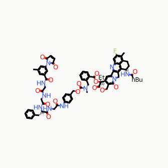 CCCCC(=O)N[C@H]1CCc2c(C)c(F)cc3nc4c(c1c23)Cn1c-4cc2c(c1=O)COC(=O)[C@@]2(CC)OC(=O)c1ccccc1CN(C)C(=O)OCc1ccc(NC(=O)CNC(=O)[C@H](Cc2ccccc2)NC(=O)CNC(=O)CNC(=O)c2cc(C)cc(N3C(=O)C=CC3=O)c2)cc1